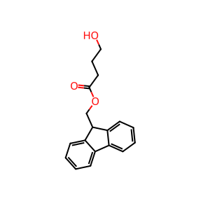 O=C(CCCO)OCC1c2ccccc2-c2ccccc21